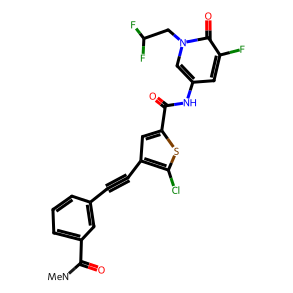 CNC(=O)c1cccc(C#Cc2cc(C(=O)Nc3cc(F)c(=O)n(CC(F)F)c3)sc2Cl)c1